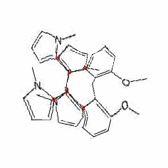 COc1cccc(P(c2cccn2C)c2cccn2C)c1-c1c(OC)cccc1P(c1cccn1C)c1cccn1C